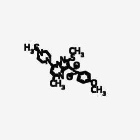 COc1ccc(S(=O)(=O)c2c(SC)nn3c(N4CCN(C)CC4)cc(C)nc23)cc1